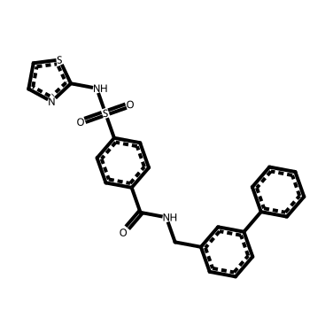 O=C(NCc1cccc(-c2ccccc2)c1)c1ccc(S(=O)(=O)Nc2nccs2)cc1